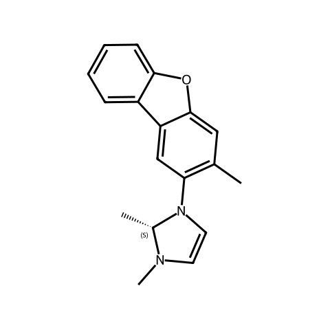 Cc1cc2oc3ccccc3c2cc1N1C=CN(C)[C@@H]1C